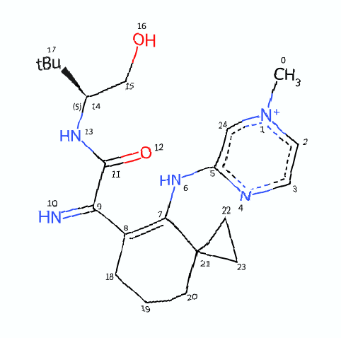 C[n+]1ccnc(NC2=C(C(=N)C(=O)N[C@H](CO)C(C)(C)C)CCCC23CC3)c1